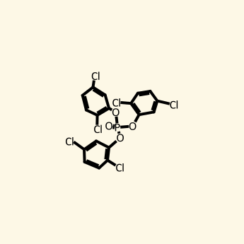 O=P(Oc1cc(Cl)ccc1Cl)(Oc1cc(Cl)ccc1Cl)Oc1cc(Cl)ccc1Cl